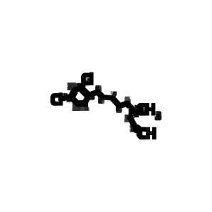 C#CCN(C)CCCCCc1ccc(Cl)cc1Cl